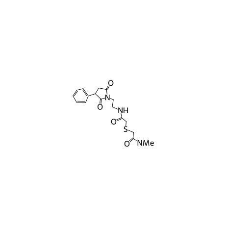 CNC(=O)CSCC(=O)NCCN1C(=O)CC(c2ccccc2)C1=O